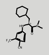 CN(C)C(=O)[C@H](CC1CCCCC1)Nc1ccc(C#N)c(C(F)(F)F)c1